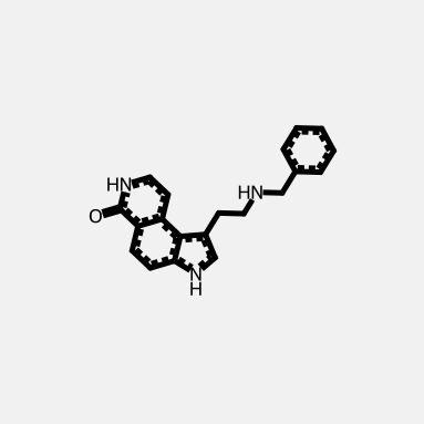 O=c1[nH]ccc2c1ccc1[nH]cc(CCNCc3ccccc3)c12